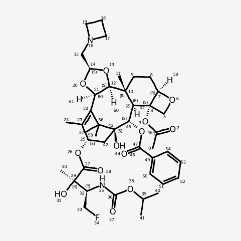 CC(=O)O[C@@]12CO[C@@H]1CC[C@@]1(C)[C@@H]3O[C@H](CN4CCC4)O[C@@H]3C3=C(C)[C@@H](OC(=O)[C@](C)(O)[C@H](CF)NC(=O)OC(C)C)C[C@@](O)([C@@H](OC(=O)c4ccccc4)[C@@H]12)C3(C)C